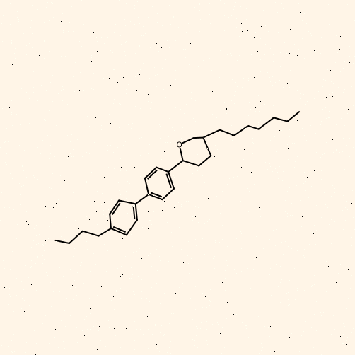 CCCCCCCC1CCC(c2ccc(-c3ccc(CCCC)cc3)cc2)OC1